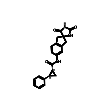 O=C1NC(=O)C2(Cc3ccc(NC(=O)[C@@H]4C[C@H]4c4ccccc4)cc3C2)N1